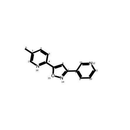 Cc1ccc(-c2cc(-c3cccnc3)no2)nc1